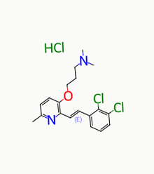 Cc1ccc(OCCCN(C)C)c(/C=C/c2cccc(Cl)c2Cl)n1.Cl